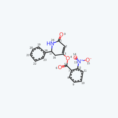 O=C1C=C(OC(=O)c2ccccc2[N+](=O)[O-])CC(c2ccccc2)N1